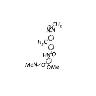 CNCCOc1cc(NC(=O)c2ccc(-c3ccc(-c4noc(C)n4)cc3C)cc2)ccc1OC